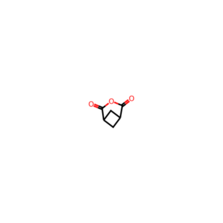 O=C1OC(=O)C2CC1C2